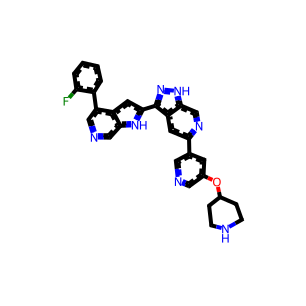 Fc1ccccc1-c1cncc2[nH]c(-c3n[nH]c4cnc(-c5cncc(OC6CCNCC6)c5)cc34)cc12